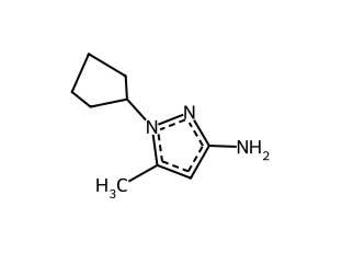 Cc1cc(N)nn1C1CCCC1